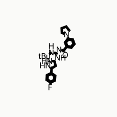 CC(C)(C)N/C(=N/C(=O)c1cccc(N2CCCC2)c1)NC1CC(c2ccc(F)cc2)NN1